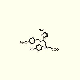 COc1ccc(CCC(C/C(=C\CC(=O)[O-])c2ccc(Cl)cc2)n2cccn2)cc1.[Na+]